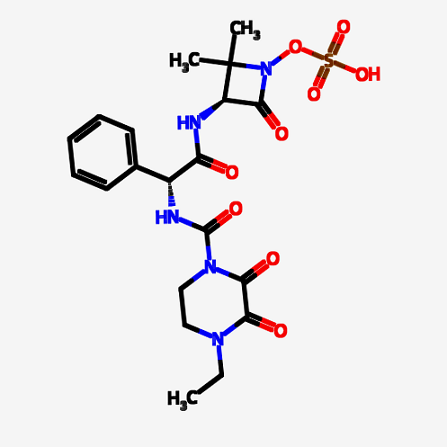 CCN1CCN(C(=O)N[C@@H](C(=O)N[C@@H]2C(=O)N(OS(=O)(=O)O)C2(C)C)c2ccccc2)C(=O)C1=O